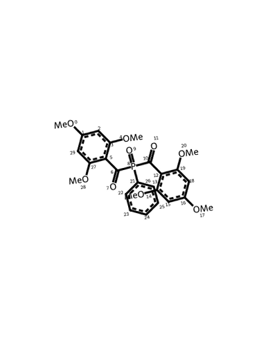 COc1cc(OC)c(C(=O)P(=O)(C(=O)c2c(OC)cc(OC)cc2OC)c2ccccc2)c(OC)c1